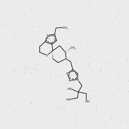 CCc1cc2c(s1)CCO[C@@]21CCN(Cc2cn(CC(O)(CO)CO)nn2)[C@@H](C)C1